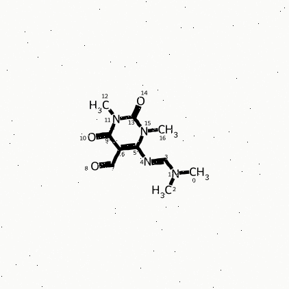 CN(C)C=Nc1c(C=O)c(=O)n(C)c(=O)n1C